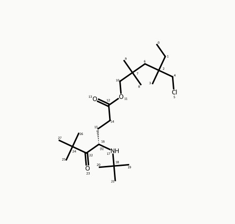 CCC(C)(CCl)CC(C)(C)COC(=O)CC[C@H](NC(C)(C)C)C(=O)C(C)(C)C